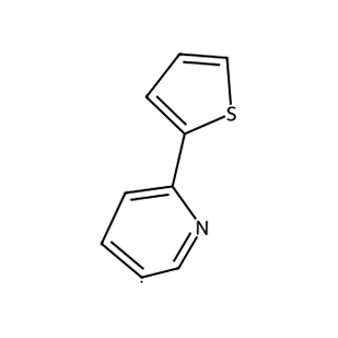 [c]1ccc(-c2cccs2)nc1